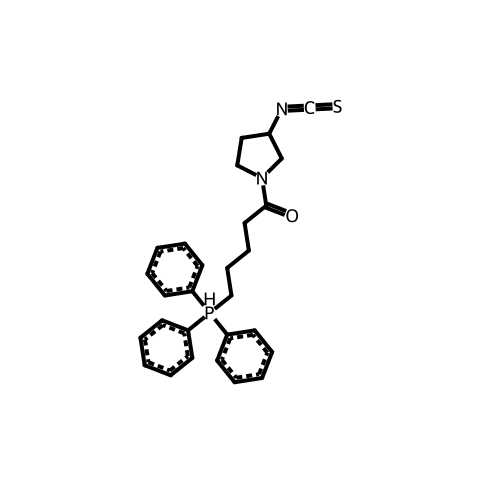 O=C(CCCC[PH](c1ccccc1)(c1ccccc1)c1ccccc1)N1CCC(N=C=S)C1